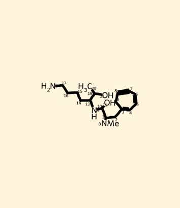 CNC(CC1=CC=CC#CC1)C(O)NC(CCCCN)C(C)O